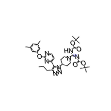 CCCc1nnn(C2CCN(/C(=N\C(=O)OC(C)(C)C)NC(=O)OC(C)(C)C)CC2)c1-c1ccnc(Oc2cc(C)cc(C)c2)n1